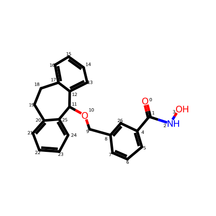 O=C(NO)c1cccc(COC2c3ccccc3CCc3ccccc32)c1